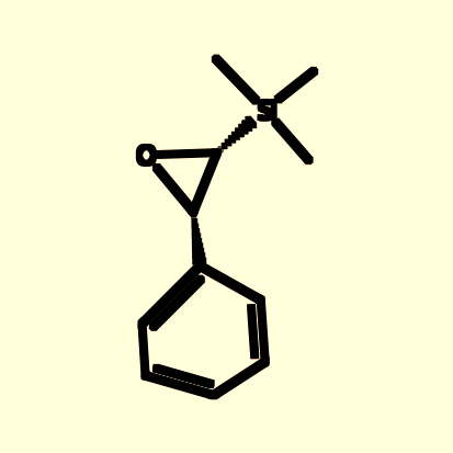 C[Si](C)(C)[C@H]1O[C@H]1c1ccccc1